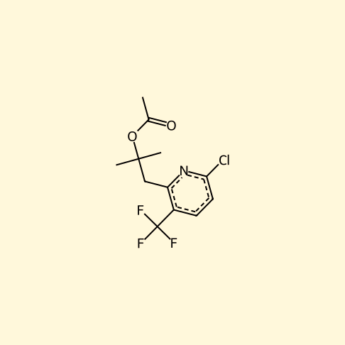 CC(=O)OC(C)(C)Cc1nc(Cl)ccc1C(F)(F)F